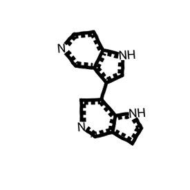 [c]1ncc(-c2c[nH]c3ccncc23)c2[nH]ccc12